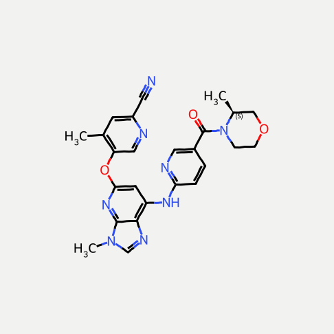 Cc1cc(C#N)ncc1Oc1cc(Nc2ccc(C(=O)N3CCOC[C@@H]3C)cn2)c2ncn(C)c2n1